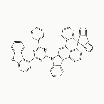 c1ccc(-c2nc(-c3cccc4oc5ccccc5c34)nc(-n3c4ccccc4c4c5cccc6c5c(cc43)-c3ccccc3C63c4ccccc4-c4ccccc43)n2)cc1